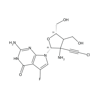 Nc1nc2c(c(F)cn2[C@@H]2O[C@H](CO)C(CO)C2(N)C#CCl)c(=O)[nH]1